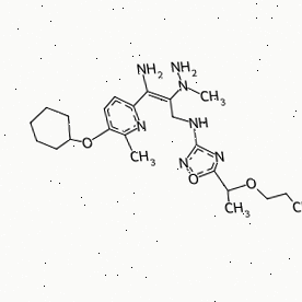 CCCOC(C)c1nc(NC/C(=C(/N)c2ccc(OC3CCCCC3)c(C)n2)N(C)N)no1